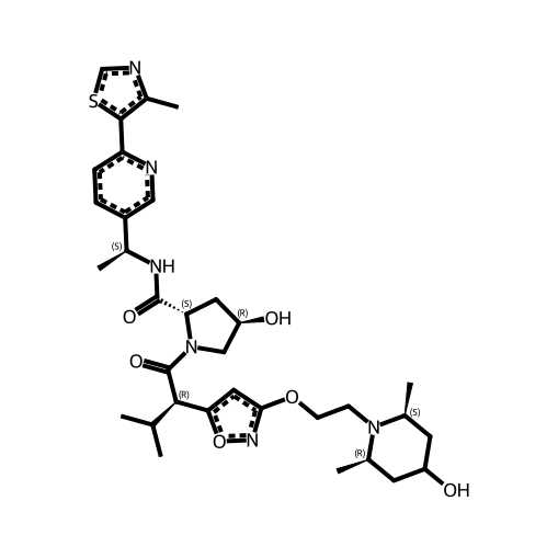 Cc1ncsc1-c1ccc([C@H](C)NC(=O)[C@@H]2C[C@@H](O)CN2C(=O)[C@@H](c2cc(OCCN3[C@H](C)CC(O)C[C@@H]3C)no2)C(C)C)cn1